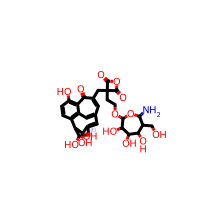 NC1OC(OCCC2(Cc3cc4cc5c(ccc(O)c5c3=O)C3C(O)C/C(=C\4)C3(O)O)C(=O)OC2=O)C(O)C(O)C(O)C1CO